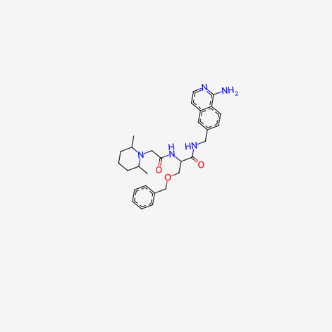 CC1CCCC(C)N1CC(=O)NC(COCc1ccccc1)C(=O)NCc1ccc2c(N)nccc2c1